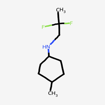 CC1CCC(NCC(C)(F)F)CC1